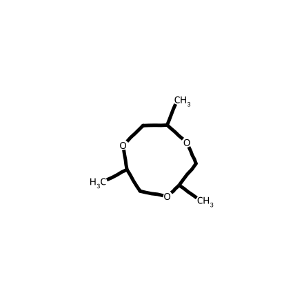 CC1COC(C)COC(C)CO1